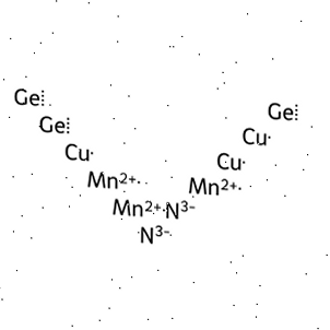 [Cu].[Cu].[Cu].[Ge].[Ge].[Ge].[Mn+2].[Mn+2].[Mn+2].[N-3].[N-3]